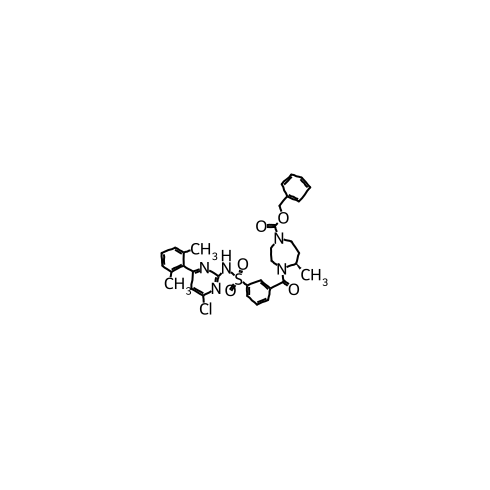 Cc1cccc(C)c1-c1cc(Cl)nc(NS(=O)(=O)c2cccc(C(=O)N3CCN(C(=O)OCc4ccccc4)CC[C@H]3C)c2)n1